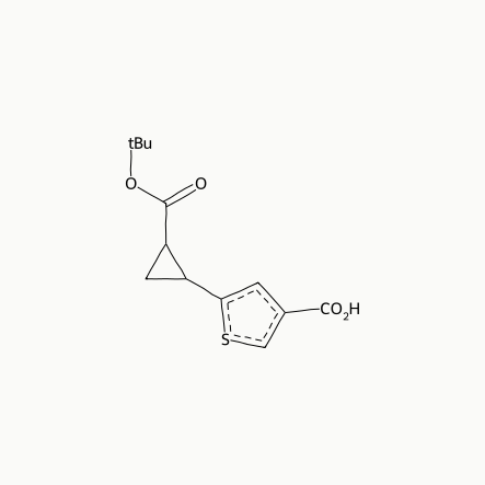 CC(C)(C)OC(=O)C1CC1c1cc(C(=O)O)cs1